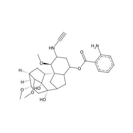 C#CNC1CC(OC(=O)c2ccccc2N)C2CC3C[C@@]2(C2C[C@@H]4[C@@H](OC)C[C@@]3(O)[C@@]2(O)[C@H]4OC)[C@H]1OC